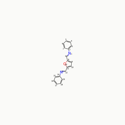 C(=Nc1ccccc1)c1ccc(C=Nc2ccccc2)o1